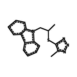 CC(Cn1c2ccccc2c2ccccc21)Sc1nnnn1C